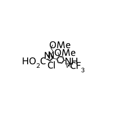 COCCn1nc(C(=O)O)c(Cl)c1-c1ccc(N[C@H](C)C(F)(F)F)cc1OC